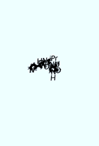 CC(C)C(Nc1ncc(-c2cccnc2)o1)C(=O)NC1CCNC(=O)C1=O